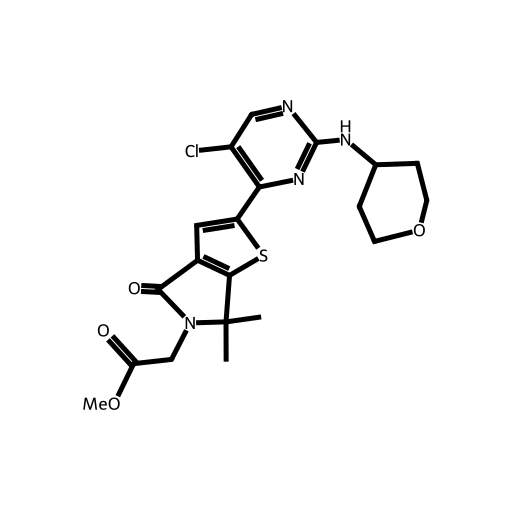 COC(=O)CN1C(=O)c2cc(-c3nc(NC4CCOCC4)ncc3Cl)sc2C1(C)C